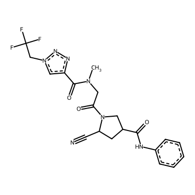 CN(CC(=O)N1CC(C(=O)Nc2ccccc2)CC1C#N)C(=O)c1cn(CC(F)(F)F)nn1